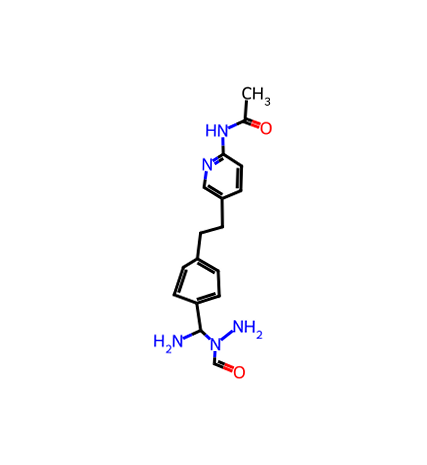 CC(=O)Nc1ccc(CCc2ccc(C(N)N(N)C=O)cc2)cn1